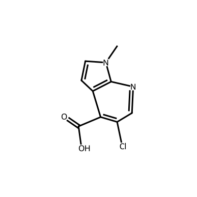 Cn1ccc2c(C(=O)O)c(Cl)cnc21